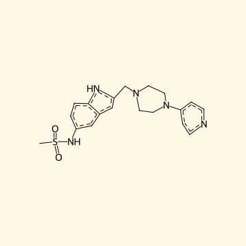 CS(=O)(=O)Nc1ccc2[nH]c(CN3CCN(c4ccncc4)CC3)cc2c1